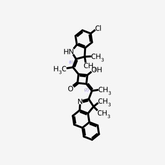 C/C(C1=Nc2ccc3ccccc3c2C1(C)C)=C1/C(=O)C(C(/C)=C2/Nc3ccc(Cl)cc3C2(C)C)=C1O